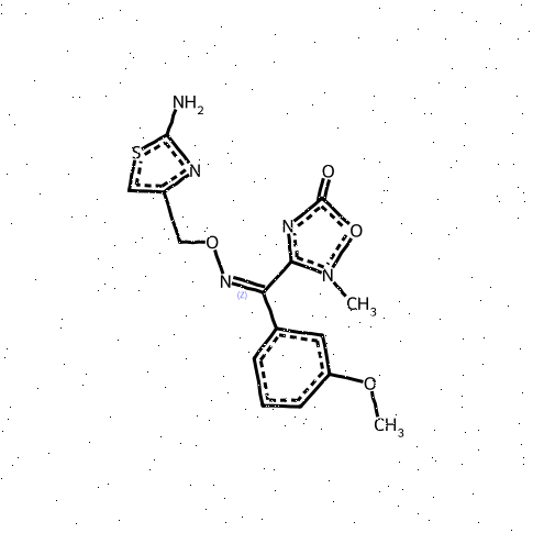 COc1cccc(/C(=N/OCc2csc(N)n2)c2nc(=O)on2C)c1